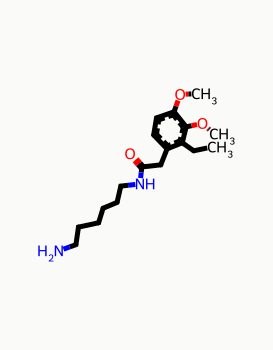 CCc1c(CC(=O)NCCCCCCN)ccc(OC)c1OC